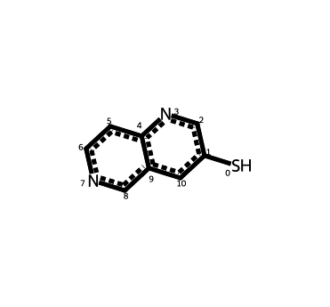 Sc1cnc2ccncc2c1